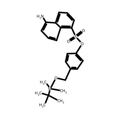 CC(C)(C)[Si](C)(C)OCc1ccc(OS(=O)(=O)c2cccc3c(N)cccc23)cc1